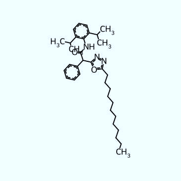 CCCCCCCCCCCCc1nnc(C(C(=O)Nc2c(C(C)C)cccc2C(C)C)c2ccccc2)o1